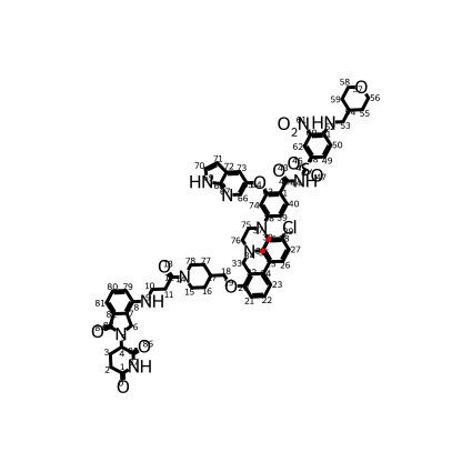 O=C1CCC(N2Cc3c(NCCC(=O)N4CCC(COc5cccc(-c6ccc(Cl)cc6)c5CN5CCN(c6ccc(C(=O)NS(=O)(=O)c7ccc(NCC8CCOCC8)c([N+](=O)[O-])c7)c(Oc7cnc8[nH]ccc8c7)c6)CC5)CC4)cccc3C2=O)C(=O)N1